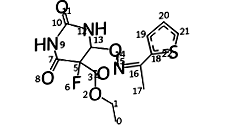 CCOC(=O)C1(F)C(=O)NC(=O)NC1ON=C(C)c1cccs1